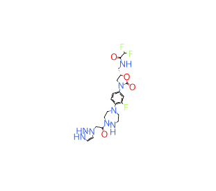 O=C(NC[C@H]1CN(c2ccc(N3CCNN(C(=O)CN4C=CNN4)CC3)c(F)c2)C(=O)O1)C(F)F